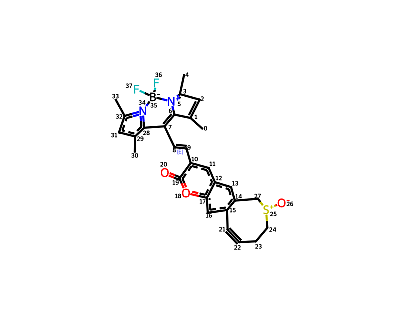 CC1=CC(C)=[N+]2C1=C(/C=C/c1cc3cc4c(cc3oc1=O)C#CCC[S+]([O-])C4)c1c(C)cc(C)n1[B-]2(F)F